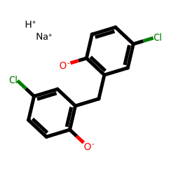 [H+].[Na+].[O-]c1ccc(Cl)cc1Cc1cc(Cl)ccc1[O-]